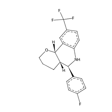 Fc1ccc([C@@H]2Nc3ccc(C(F)(F)F)cc3[C@H]3OCCC[C@H]32)cc1